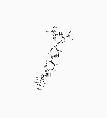 CC(C)c1nc(-c2ccc(-c3ccc(BOC(C)(C)C(C)(C)O)cc3)nc2)nc(C(C)C)n1